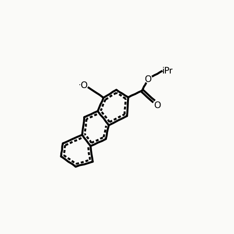 CC(C)OC(=O)c1cc([O])c2cc3ccccc3cc2c1